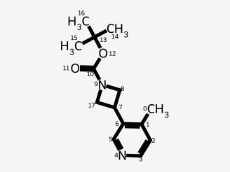 Cc1ccncc1C1CN(C(=O)OC(C)(C)C)C1